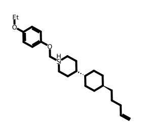 C=CCCC[C@H]1CC[C@H](C2CC[SiH](COc3ccc(OCC)cc3)CC2)CC1